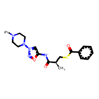 CC(C)N1CCN([n+]2cc([N-]C(=O)[C@H](C)CSC(=O)c3ccccc3)on2)CC1